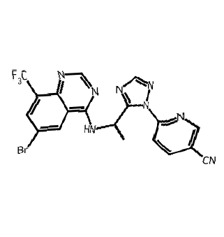 CC(Nc1ncnc2c(C(F)(F)F)cc(Br)cc12)c1ncnn1-c1ccc(C#N)cn1